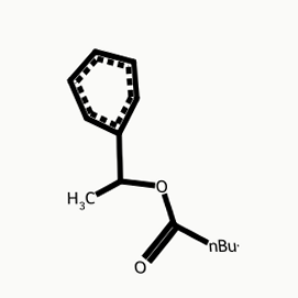 CCC[CH]C(=O)OC(C)c1ccccc1